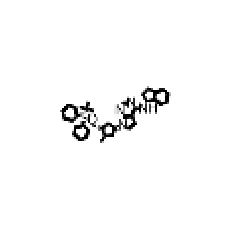 CC1C[C@H](n2ccc3c(NC4CCc5ccccc54)ncnc32)C[C@H]1CO[Si](c1ccccc1)(c1ccccc1)C(C)(C)C